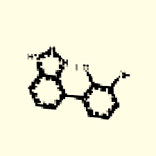 Oc1cccc(-c2cccc3[nH]nnc23)c1O